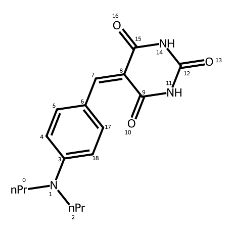 CCCN(CCC)c1ccc(C=C2C(=O)NC(=O)NC2=O)cc1